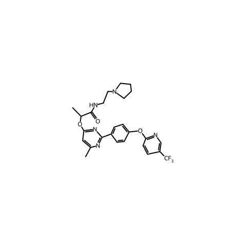 Cc1cc(OC(C)C(=O)NCCN2CCCC2)nc(-c2ccc(Oc3ccc(C(F)(F)F)cn3)cc2)n1